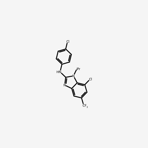 CC(C)n1c(Nc2ccc(Cl)cc2)nc2cc(C(F)(F)F)cc(Cl)c21